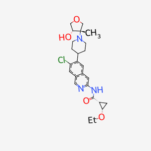 CCO[C@H]1C[C@H]1C(=O)Nc1cc2cc(C3CCN([C@@]4(C)COC[C@H]4O)CC3)c(Cl)cc2cn1